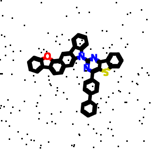 c1ccc(-c2ccc(-c3nc(-n4c5ccccc5c5cc6c(ccc7c8ccccc8oc67)cc54)nc4c3sc3ccccc34)cc2)cc1